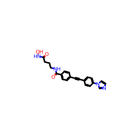 O=C(CCCNC(=O)c1ccc(C#Cc2ccc(-n3ccnc3)cc2)cc1)NO